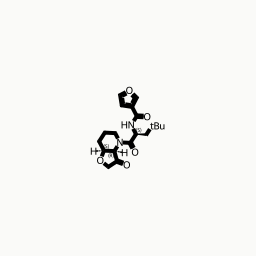 CC(C)(C)C[C@H](NC(=O)c1ccoc1)C(=O)N1CCC[C@@H]2OCC(=O)[C@@H]21